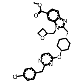 COC(=O)c1ccc2nc(C[C@H]3CC[C@H](Oc4ccnc(Cc5ccc(Cl)cc5)n4)CC3)n(C[C@@H]3CCO3)c2c1